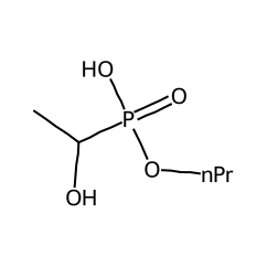 CCCOP(=O)(O)C(C)O